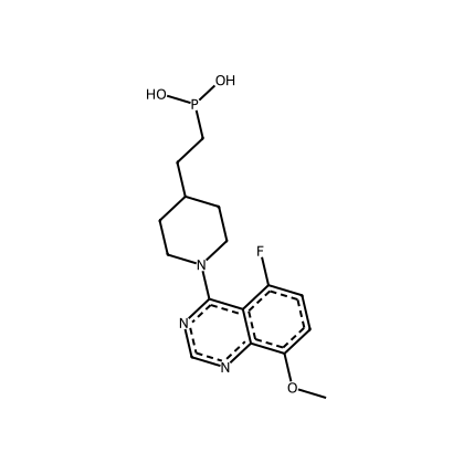 COc1ccc(F)c2c(N3CCC(CCP(O)O)CC3)ncnc12